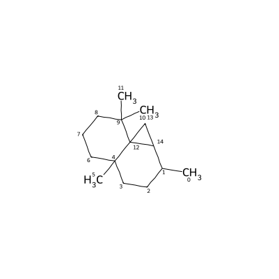 CC1CCC2(C)CCCC(C)(C)C23CC13